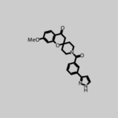 COc1ccc2c(c1)OC1(CCN(C(=O)c3cccc(-c4cc[nH]n4)c3)CC1)CC2=O